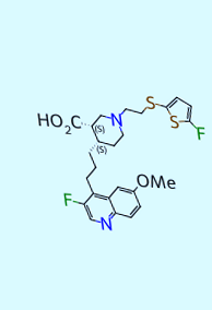 COc1ccc2ncc(F)c(CCC[C@H]3CCN(CCSc4ccc(F)s4)C[C@H]3C(=O)O)c2c1